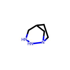 C1CN2CC1CNN2